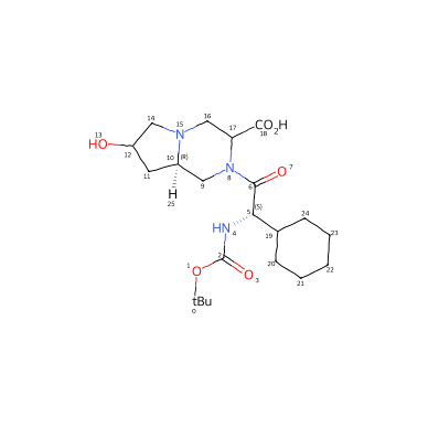 CC(C)(C)OC(=O)N[C@H](C(=O)N1C[C@H]2CC(O)CN2CC1C(=O)O)C1CCCCC1